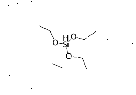 CC.CCO[SiH](OCC)OCC